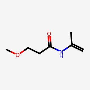 C=C(C)NC(=O)CCOC